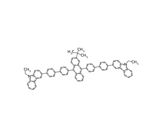 CCn1c2ccccc2c2cc(-c3ccc(-c4ccc(-c5c6ccccc6c(-c6ccc(-c7ccc(-c8ccc9c(c8)c8ccccc8n9CC)cc7)cc6)c6cc(C(C)(C)C)ccc56)cc4)cc3)ccc21